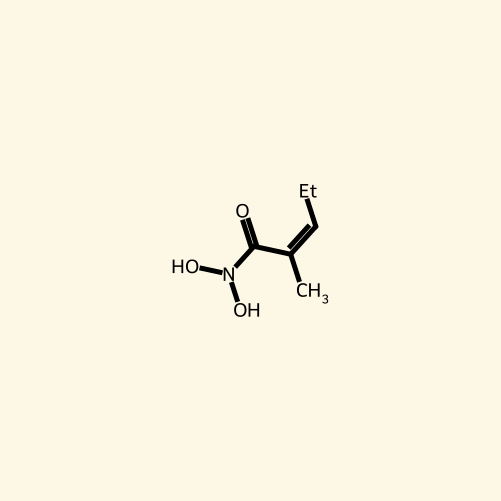 CCC=C(C)C(=O)N(O)O